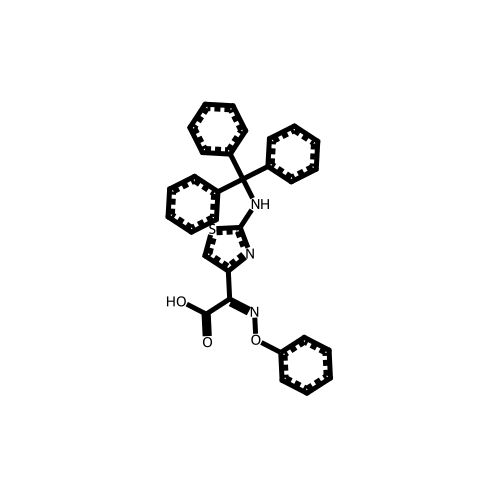 O=C(O)C(=NOc1ccccc1)c1csc(NC(c2ccccc2)(c2ccccc2)c2ccccc2)n1